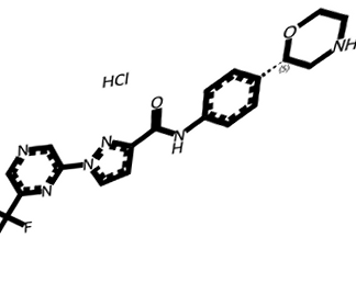 Cl.O=C(Nc1ccc([C@H]2CNCCO2)cc1)c1ccn(-c2cncc(C(F)(F)F)n2)n1